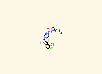 C[C@@H]1N(CC(=O)N2CCN(C(=O)c3[nH]c4ccc(F)c(Cl)c4c3F)CC2)CC1(F)F